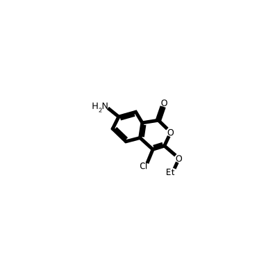 CCOc1oc(=O)c2cc(N)ccc2c1Cl